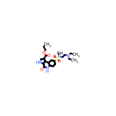 CCCOC(=O)c1c[nH]c2c(=O)[nH]c3ccc(S(=O)(=O)N(C)CCN(CC)CC)cc3c12